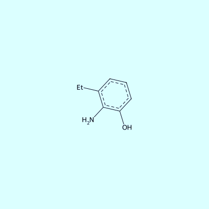 CCc1cccc(O)c1N